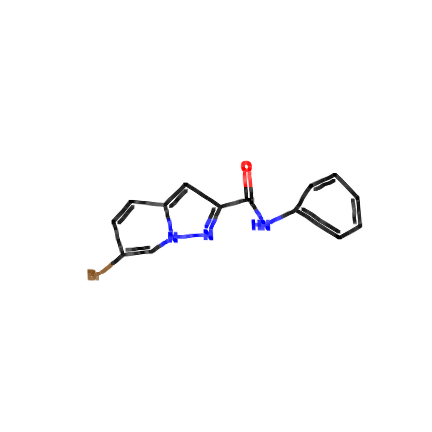 O=C(Nc1ccccc1)c1cc2ccc(Br)cn2n1